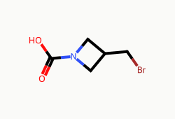 O=C(O)N1CC(CBr)C1